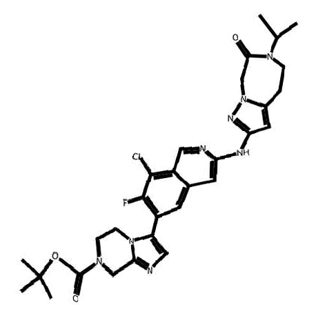 CC(C)N1CCc2cc(Nc3cc4cc(-c5cnc6n5CCN(C(=O)OC(C)(C)C)C6)c(F)c(Cl)c4cn3)nn2CC1=O